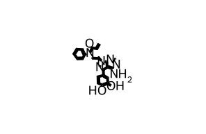 C=CC(=O)N(CCn1nc(-c2ccc(O)c(O)c2)c2c(N)ncnc21)c1ccccc1